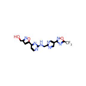 OCc1cc(-c2ccnc(NCc3ncc(-c4noc(C(F)(F)F)n4)cn3)n2)on1